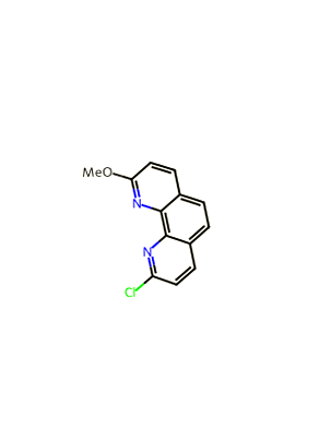 COc1ccc2ccc3ccc(Cl)nc3c2n1